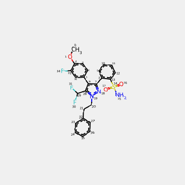 COc1ccc(-c2c(-c3ccccc3S(N)(=O)=O)nn(CCc3ccccc3)c2C(F)F)cc1F